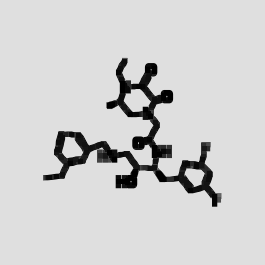 CCc1cccc(CNC[C@H](O)[C@H](Cc2cc(F)cc(F)c2)NC(=O)CN2C[C@@H](C)N(CC)C(=O)C2=O)c1